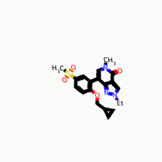 CCn1cc2c(=O)n(C)cc(-c3cc(S(C)(=O)=O)ccc3OCC3CC3)c2n1